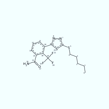 CCCCCSc1nnc(-c2cccc(C(N)=O)c2C(F)(F)F)s1